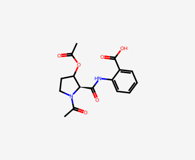 CC(=O)OC1CCN(C(C)=O)[C@@H]1C(=O)Nc1ccccc1C(=O)O